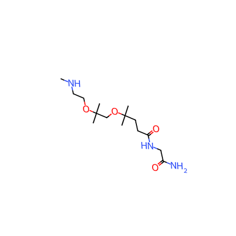 CNCCOC(C)(C)COC(C)(C)CCC(=O)NCC(N)=O